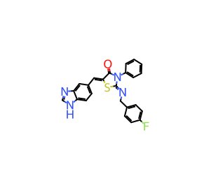 O=C1/C(=C/c2ccc3[nH]cnc3c2)S/C(=N\Cc2ccc(F)cc2)N1c1ccccc1